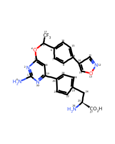 Nc1nc(OC(c2ccc(-c3cnoc3)cc2)C(F)(F)F)cc(-c2ccc(C[C@H](N)C(=O)O)cc2)n1